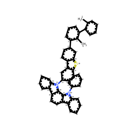 Cc1ccccc1-c1cccc(-c2ccc3c(c2)sc2ccc(-n4c5ccccc5c5ccc6c7ccccc7n(-c7ccccc7)c6c54)cc23)c1C